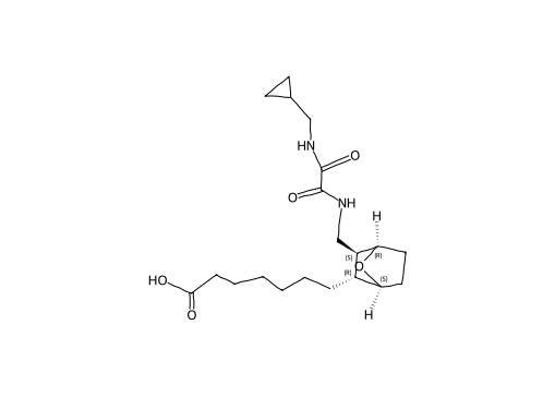 O=C(O)CCCCCC[C@@H]1[C@@H](CNC(=O)C(=O)NCC2CC2)[C@H]2CC[C@@H]1O2